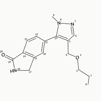 CCCOCc1cnn(C)c1-c1ccc2c(c1)CNC2=O